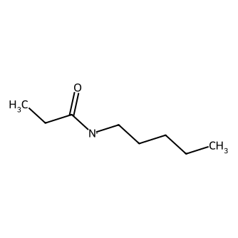 CCCCC[N]C(=O)CC